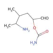 CC(N)C(C)CC(C=O)OC(N)=O